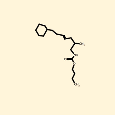 CCCCOC(=O)NCC(C)CC=CCCC1CCCCC1